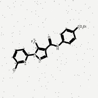 CCOC(=O)c1ccc(NC(=O)c2cnn(-c3cccc(Cl)n3)c2C(F)(F)F)cc1